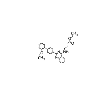 CCOC(=O)CCCNc1nc(-c2ccc(-c3ccccc3OCC)cc2)nc2ccccc12